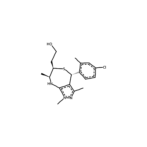 Cc1cc(Cl)ccc1[C@H]1S[C@H](CCO)[C@H](C)Nc2c1c(C)nn2C